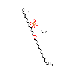 CCCCCCCCCCCCOCCCC(CCCCCCCC)OS(=O)(=O)[O-].[Na+]